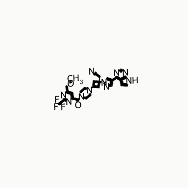 COCc1cc(C(=O)N2CCN([C@H]3C[C@](CC#N)(n4cc(-c5ncnc6[nH]ccc56)cn4)C3)CC2)nc(C(F)(F)F)n1